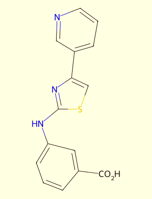 O=C(O)c1cccc(Nc2nc(-c3cccnc3)cs2)c1